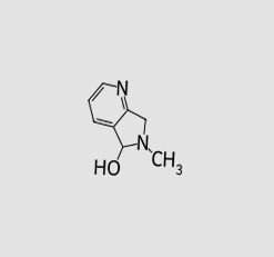 CN1Cc2ncccc2C1O